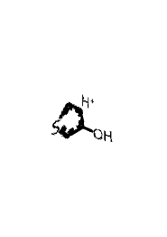 Oc1ccsc1.[H+]